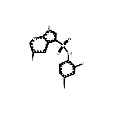 O=S(=O)(Nc1ccc(I)cc1F)c1c[nH]c2ncc(I)cc12